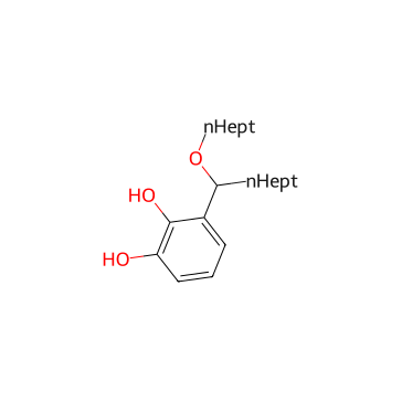 CCCCCCCOC(CCCCCCC)c1cccc(O)c1O